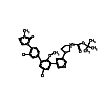 COc1c(-c2cncc(N3CC[C@H](NC(=O)OC(C)(C)C)C3)c2)cc(Cl)cc1-c1ccc(-n2ccn(C)c2=O)c(Cl)c1